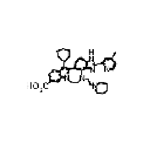 Cc1ccnc(-c2nc3c4c(ccc3[nH]2)-c2c(C3CCCCC3)c3ccc(C(=O)O)cc3n2CCN4CCN2CCCCC2)c1